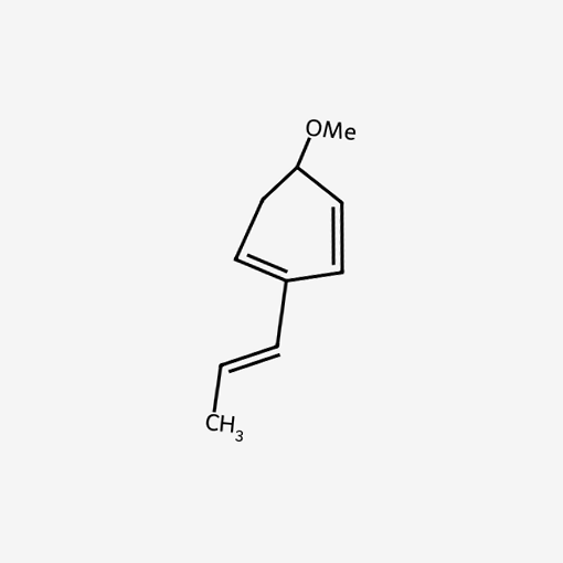 CC=CC1=CCC(OC)C=C1